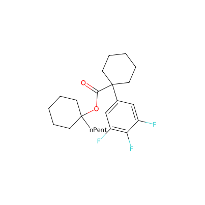 CCCCCC1(OC(=O)C2(c3cc(F)c(F)c(F)c3)CCCCC2)CCCCC1